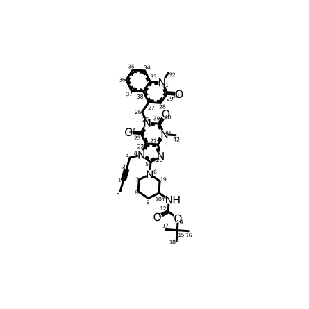 CC#CCn1c(N2CCCC(NC(=O)OC(C)(C)C)C2)nc2c1c(=O)n(Cc1cc(=O)n(C)c3ccccc13)c(=O)n2C